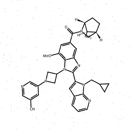 COc1cc(C(=O)N2C[C@H]3CC[C@@H]2[C@@H]3N)cc2nc(-c3cc4cccnc4n3CC3CC3)n(C3CN(c4cncc(C#N)c4)C3)c12